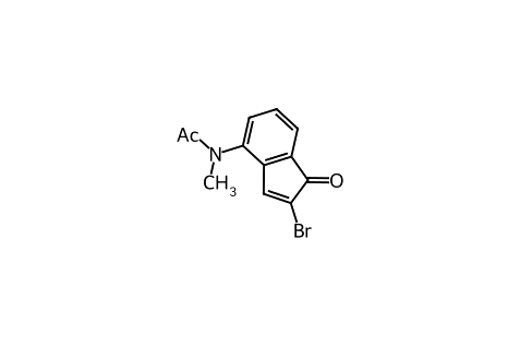 CC(=O)N(C)c1cccc2c1C=C(Br)C2=O